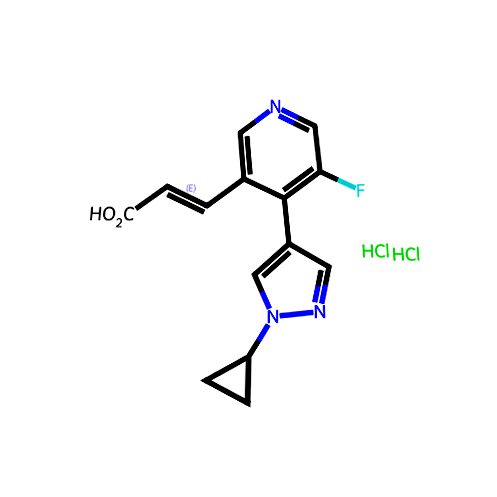 Cl.Cl.O=C(O)/C=C/c1cncc(F)c1-c1cnn(C2CC2)c1